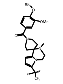 COc1cc(C(=O)N2CCC3(CC2)c2ccc(C(F)(F)C(F)(F)F)n2CCN3C)ccc1OC(C)(C)C